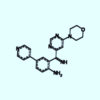 N=C(c1cc(N2CCOCC2)ncn1)c1cc(-c2ccncc2)ccc1N